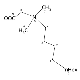 CCCCCCCCCC[N+](C)(C)CC(=O)[O-]